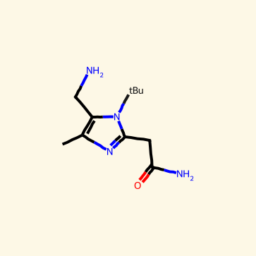 Cc1nc(CC(N)=O)n(C(C)(C)C)c1CN